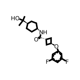 CC(C)(O)[C@H]1CC[C@H](NC(=O)[C@H]2C[C@H](Oc3cc(F)cc(F)c3)C2)CC1